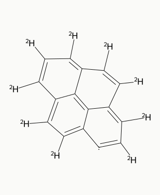 [2H]c1[c]c2c([2H])c([2H])c3c([2H])c([2H])c([2H])c4c([2H])c([2H])c(c1[2H])c2c34